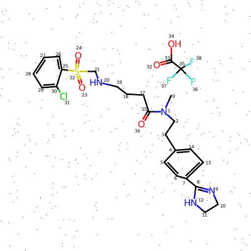 CN(CCc1ccc(C2=NCCN2)cc1)C(=O)CCCNCS(=O)(=O)c1ccccc1Cl.O=C(O)C(F)(F)F